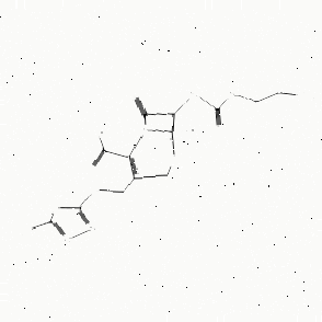 CCCNC(=O)NC1C(=O)N2C(C(=O)O)=C(CSc3nnc(C)o3)CS[C@H]12